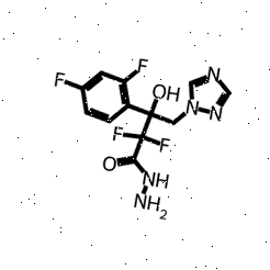 NNC(=O)C(F)(F)C(O)(Cn1cncn1)c1ccc(F)cc1F